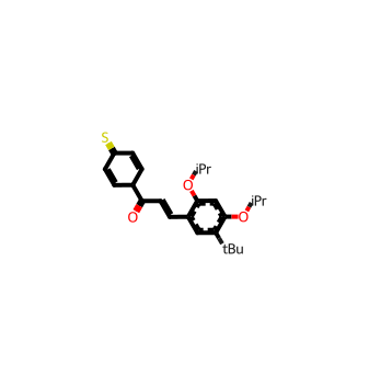 CC(C)Oc1cc(OC(C)C)c(C(C)(C)C)cc1/C=C/C(=O)C1C=CC(=S)C=C1